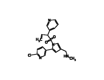 C=CC(c1cccnc1)S(=O)(=O)n1cc(CNC)cc1-c1ccc(Cl)nc1